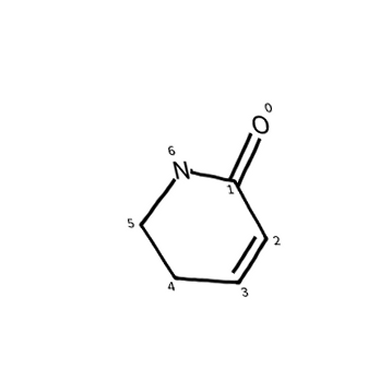 O=C1C=CCC[N]1